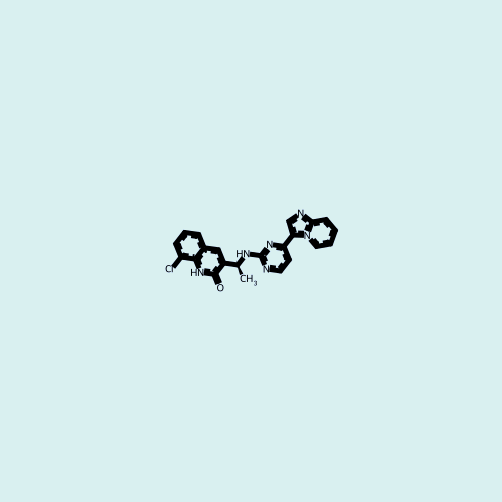 C[C@H](Nc1nccc(-c2cnc3ccccn23)n1)c1cc2cccc(Cl)c2[nH]c1=O